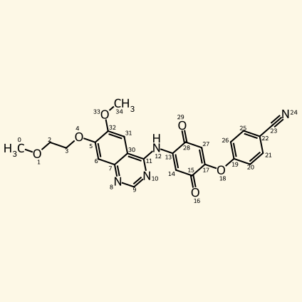 COCCOc1cc2ncnc(NC3=CC(=O)C(Oc4ccc(C#N)cc4)=CC3=O)c2cc1OC